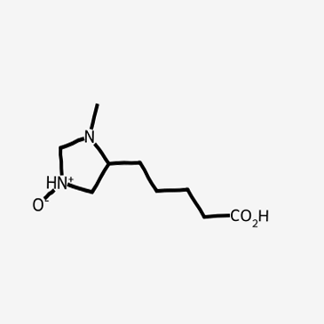 CN1C[NH+]([O-])CC1CCCCC(=O)O